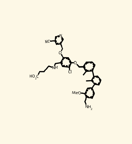 COc1cc(-c2cccc(-c3cccc(COc4cc(OCc5cncc(C#N)c5)c(CNCCCC(=O)O)cc4Cl)c3C)c2C)ccc1CN